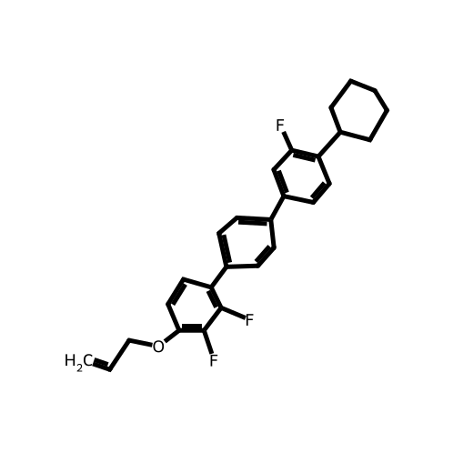 C=CCOc1ccc(-c2ccc(-c3ccc(C4CCCCC4)c(F)c3)cc2)c(F)c1F